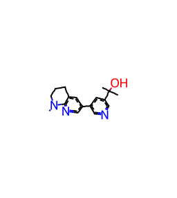 CN1CCCc2cc(-c3cncc(C(C)(C)O)c3)cnc21